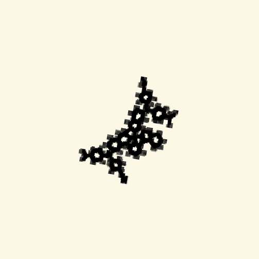 CC(C)c1ccc(N(c2ccc(C#N)cc2)c2ccc3cc4c(cc3c2)C2(c3cc5cc(N(c6ccc(C#N)cc6)c6ccc(C(C)C)cc6)ccc5cc3-4)c3ccccc3-c3c2ccc2ccccc32)cc1